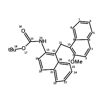 COc1ccc2ccccc2c1Cc1c(NC(=O)OC(C)(C)C)ccc2ccccc12